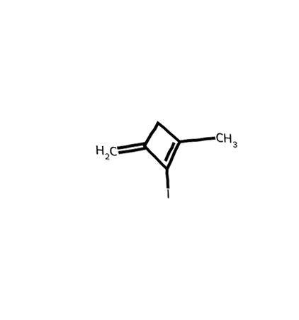 C=C1CC(C)=C1I